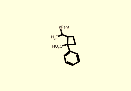 CCCCCC(C)C1CCC1(C(=O)O)c1ccccc1